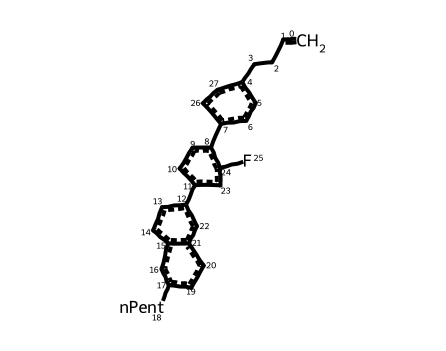 C=CCCc1ccc(-c2ccc(-c3ccc4cc(CCCCC)ccc4c3)cc2F)cc1